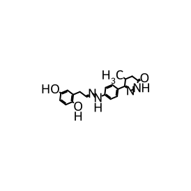 CC1CC(=O)NN=C1c1ccc(NN=CCc2cc(O)ccc2O)cc1